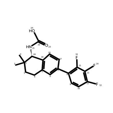 CC1(C)CCc2cc(-c3ccc(F)c(F)c3F)ccc2[C@H]1NC(=O)O